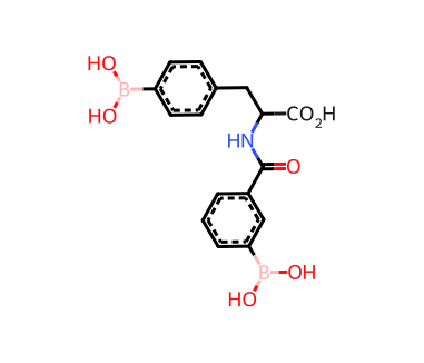 O=C(NC(Cc1ccc(B(O)O)cc1)C(=O)O)c1cccc(B(O)O)c1